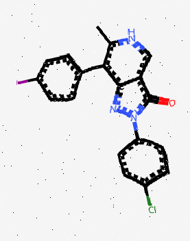 Cc1[nH]cc2c(=O)n(-c3ccc(Cl)cc3)nc-2c1-c1ccc(I)cc1